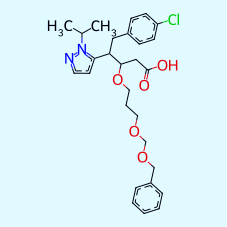 CC(C)n1nccc1C(Cc1ccc(Cl)cc1)C(CC(=O)O)OCCCOCOCc1ccccc1